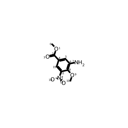 COC(=O)c1cc(N)c(OC)c([N+](=O)[O-])c1